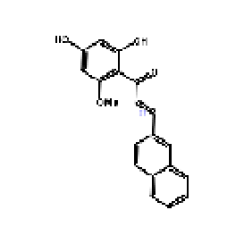 COc1cc(O)cc(O)c1C(=O)/C=C/c1ccc2ccccc2c1